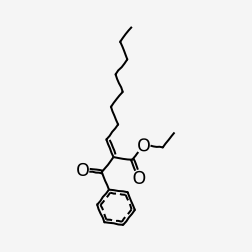 CCCCCCCC=C(C(=O)OCC)C(=O)c1ccccc1